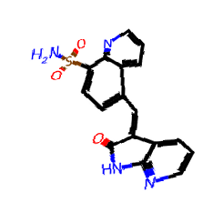 NS(=O)(=O)c1ccc(C=C2C(=O)Nc3ncccc32)c2cccnc12